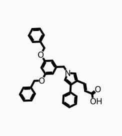 O=C(O)/C=C/c1cn(Cc2cc(OCc3ccccc3)cc(OCc3ccccc3)c2)cc1-c1ccccc1